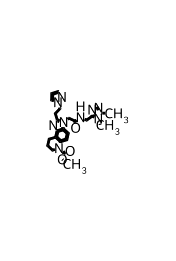 COC(=O)N1CCCc2c1ccc1c2nc(CCn2cccn2)n1CC(=O)NCc1nnc(C)n1C